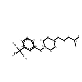 CC(C)CCCN1CCN(Cc2cccc(C(F)(F)F)c2)CC1